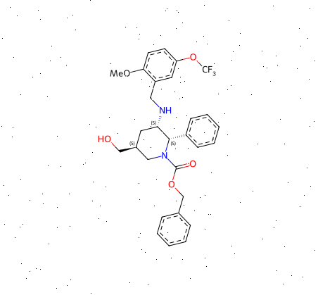 COc1ccc(OC(F)(F)F)cc1CN[C@H]1C[C@H](CO)CN(C(=O)OCc2ccccc2)[C@H]1c1ccccc1